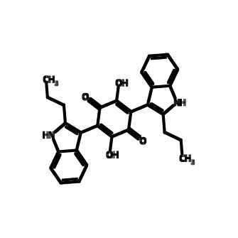 CCCc1[nH]c2ccccc2c1C1=C(O)C(=O)C(c2c(CCC)[nH]c3ccccc23)=C(O)C1=O